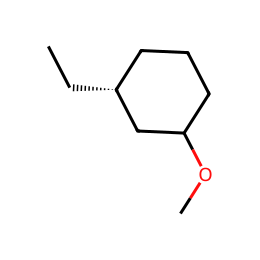 CC[C@@H]1CCCC(OC)C1